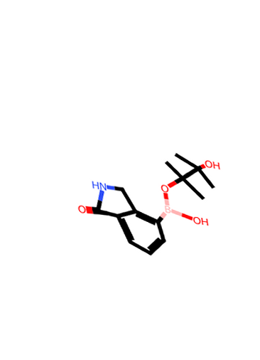 CC(C)(O)C(C)(C)OB(O)c1cccc2c1CNC2=O